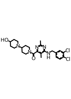 Cc1nc(NCc2ccc(Cl)c(Cl)c2)c(C)c(C(=O)N2CCC(N3CCC(O)CC3)CC2)n1